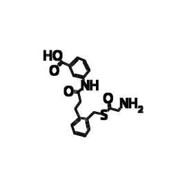 NCC(=O)SCc1ccccc1CCC(=O)Nc1cccc(C(=O)O)c1